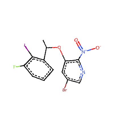 CC(Oc1cc(Br)cnc1[N+](=O)[O-])c1cccc(F)c1I